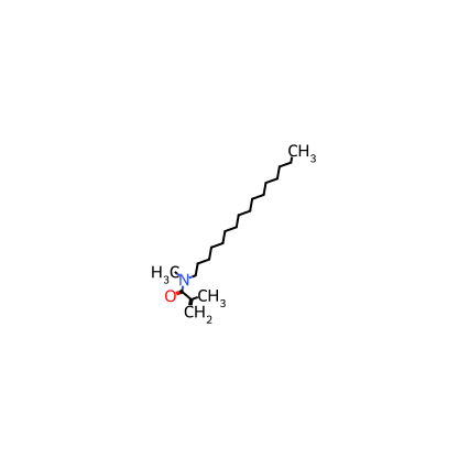 C=C(C)C(=O)N(C)CCCCCCCCCCCCCCCC